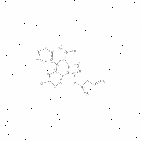 C=CCN(C)Cc1nnc(CN(C)C)n1-c1ccc(Cl)cc1C(=O)c1ccccc1